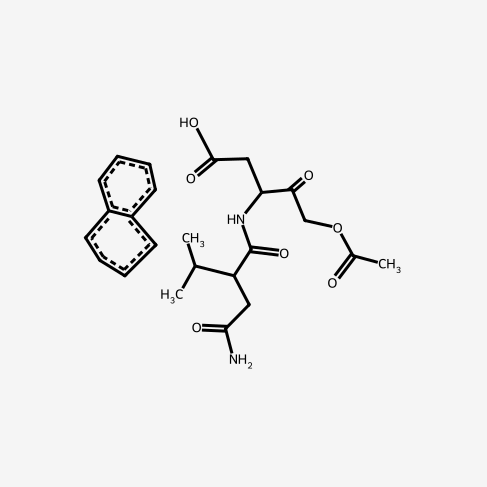 CC(=O)OCC(=O)C(CC(=O)O)NC(=O)C(CC(N)=O)C(C)C.c1ccc2ccccc2c1